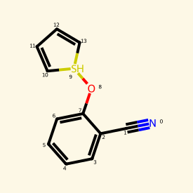 N#Cc1ccccc1O[SH]1C=CC=C1